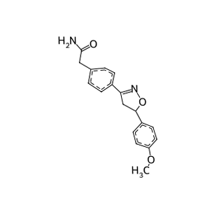 COc1ccc(C2CC(c3ccc(CC(N)=O)cc3)=NO2)cc1